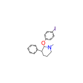 CN1CCCC(c2ccccc2)C1Oc1ccc(I)cc1